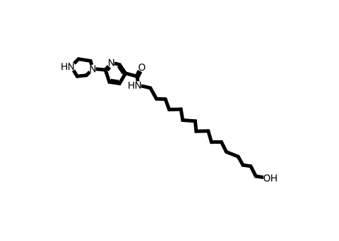 O=C(NCCCCCCCCCCCCCCCCO)c1ccc(N2CCNCC2)nc1